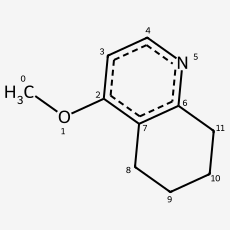 COc1ccnc2c1CCCC2